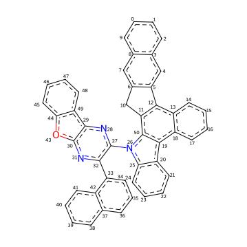 c1ccc2cc3c(cc2c1)Cc1c-3c2ccccc2c2c3ccccc3n(-c3nc4c(nc3-c3cccc5ccccc35)oc3ccccc34)c12